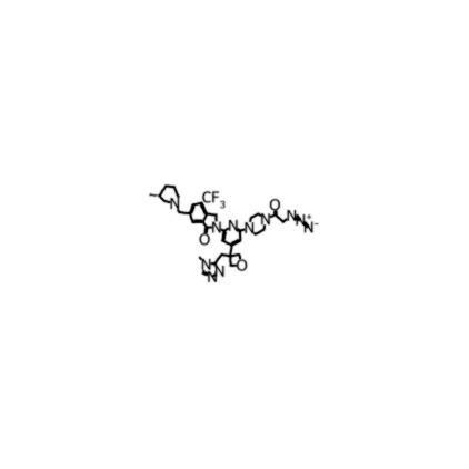 C[C@H]1CCCN(Cc2cc3c(c(C(F)(F)F)c2)CN(c2cc(C4(Cc5nncn5C)COC4)cc(N4CCN(C(=O)CN=[N+]=[N-])CC4)n2)C3=O)C1